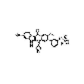 CCc1cc2c(=O)c3c4ccc(C#N)cc4[nH]c3n(C3CN(C)C3)c2cc1-c1cccc(OS(=O)(=O)F)c1